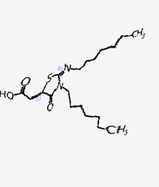 CCCCCCC/N=C1/S/C(=C\C(=O)O)C(=O)N1CCCCCCC